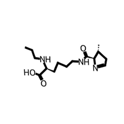 CCCN[C@@H](CCCCNC(=O)[C@@H]1N=CC[C@H]1C)C(=O)O